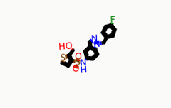 O=S(=O)(Nc1ccc2c(cnn2Cc2ccc(F)cc2)c1)c1ccsc1CO